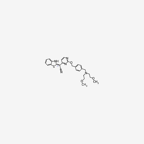 COCCN(CCOC)Cc1ccc(COc2nccc(/C(C#N)=C3\Nc4ccccc4S3)n2)cc1